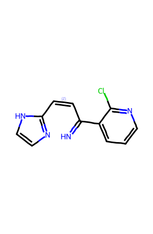 N=C(/C=C\c1ncc[nH]1)c1cccnc1Cl